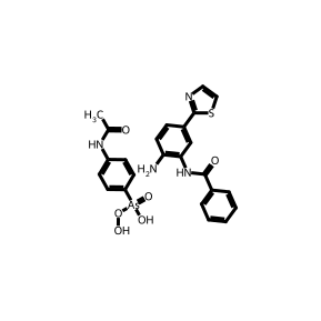 CC(=O)Nc1ccc([As](=O)(O)OO)cc1.Nc1ccc(-c2nccs2)cc1NC(=O)c1ccccc1